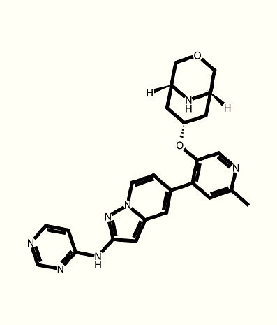 Cc1cc(-c2ccn3nc(Nc4ccncn4)cc3c2)c(O[C@H]2C[C@H]3COC[C@@H](C2)N3)cn1